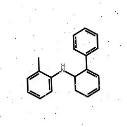 Cc1ccccc1NC1CC=CC=C1c1ccccc1